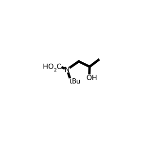 CC(O)CN(C(=O)O)C(C)(C)C